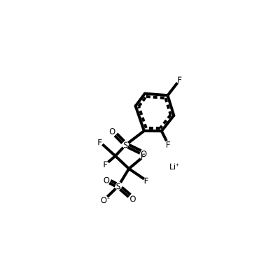 O=S(=O)([O-])C(F)(F)C(F)(F)S(=O)(=O)c1ccc(F)cc1F.[Li+]